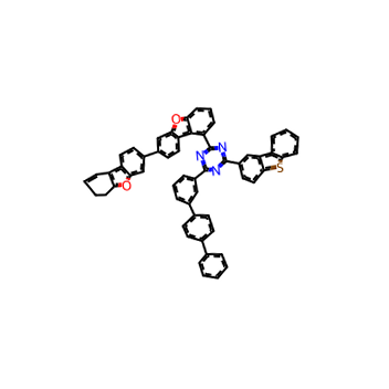 C1=Cc2c(oc3cc(-c4ccc5c(c4)oc4cccc(-c6nc(-c7cccc(-c8ccc(-c9ccccc9)cc8)c7)nc(-c7ccc8sc9ccccc9c8c7)n6)c45)ccc23)CC1